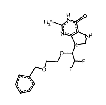 Nc1nc2c(c(=O)[nH]1)NCN2C(OCCOCc1ccccc1)C(F)F